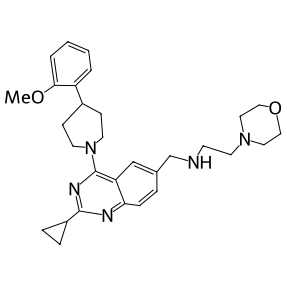 COc1ccccc1C1CCN(c2nc(C3CC3)nc3ccc(CNCCN4CCOCC4)cc23)CC1